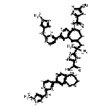 Cn1cc(Nc2nccc(-c3cc4c(cn3)[C@@H](NC(=O)c3noc(C(C)(C)C)n3)CCC(CC(C)(C)c3nc(C(=O)N[C@@H]5CCCCc6cc(-c7ccnc(Nc8cnn(C)c8)n7)ncc65)no3)C4)n2)cn1